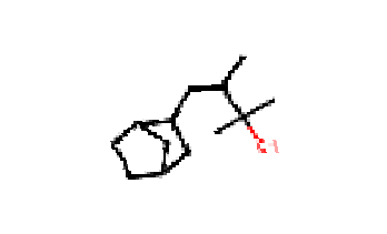 CC(CC1CC2CCC1C2)C(C)(C)O